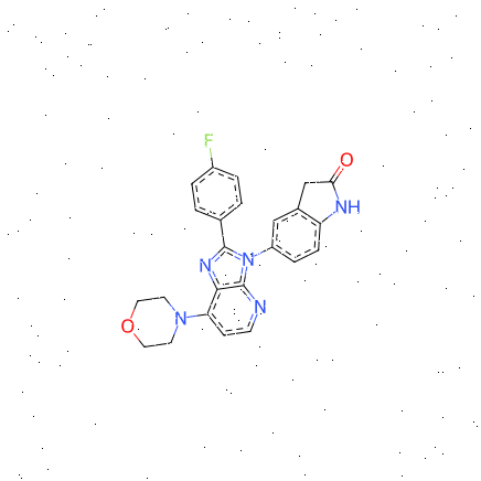 O=C1Cc2cc(-n3c(-c4ccc(F)cc4)nc4c(N5CCOCC5)ccnc43)ccc2N1